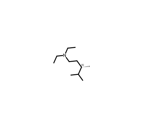 CCN(CC)CC[C@H](C)C(C)C